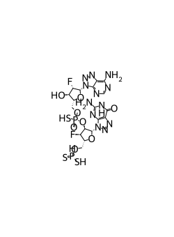 Nc1nc2c(nnn2[C@@H]2O[C@H](CO[PH](=S)S)[C@@H](F)[C@H]2OP(=O)(S)OC[C@H]2O[C@@H](n3nnc4c(N)ncnc43)[C@@H](F)[C@@H]2O)c(=O)[nH]1